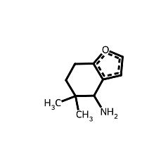 CC1(C)CCc2occc2C1N